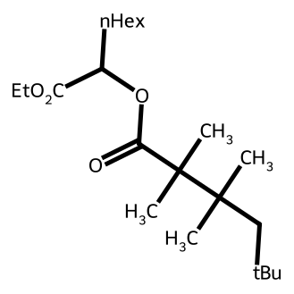 CCCCCCC(OC(=O)C(C)(C)C(C)(C)CC(C)(C)C)C(=O)OCC